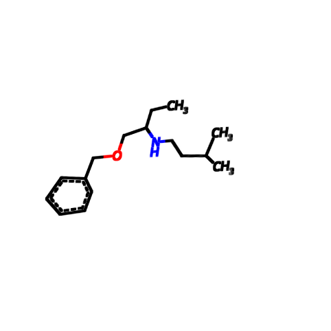 CCC(COCc1ccccc1)NCCC(C)C